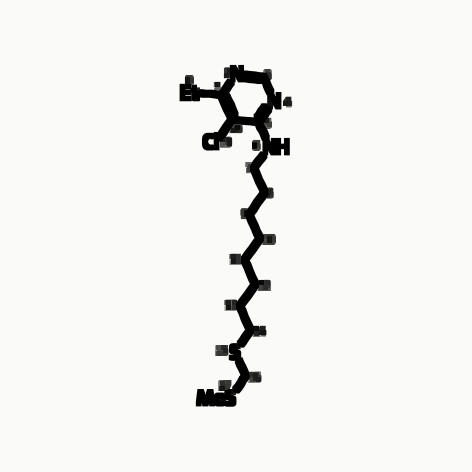 CCc1ncnc(NCCCCCCCCSCSC)c1Cl